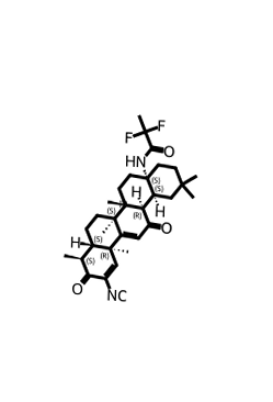 [C-]#[N+]C1=C[C@]2(C)C3=CC(=O)[C@@H]4[C@@H]5CC(C)(C)CC[C@]5(NC(=O)C(C)(F)F)CC[C@@]4(C)[C@]3(C)CC[C@H]2[C@H](C)C1=O